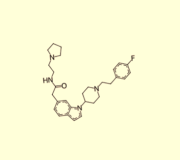 O=C(Cc1ccc2ccn(C3CCN(CCc4ccc(F)cc4)CC3)c2c1)NCCN1CCCC1